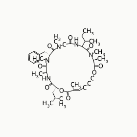 CCC(C)C1NC(=O)CN(C)C(=O)[C@@H](Cc2ccccc2)N(C)C(=O)[C@H](C)NC(=O)[C@@H](CC(C)C)OC(=O)/C(C)=C/CCCOC(=O)[C@H](C)N(C)C1=O